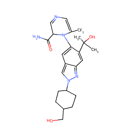 CC(C)(O)c1cc2nn(C3CCC(CO)CC3)cc2cc1N1C(C(F)(F)F)=CN=CC1C(N)=O